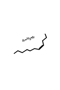 [Br][Mg][Br].[CH2]CC/C=C\CCCCCC